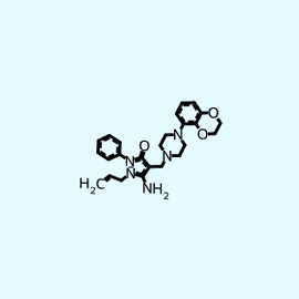 C=CCn1c(N)c(CN2CCN(c3cccc4c3OCCO4)CC2)c(=O)n1-c1ccccc1